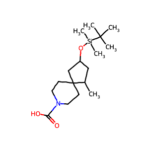 CC1CC(O[Si](C)(C)C(C)(C)C)CC12CCN(C(=O)O)CC2